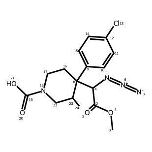 COC(=O)C(N=[N+]=[N-])C1(c2ccc(Cl)cc2)CCN(C(=O)O)CC1C